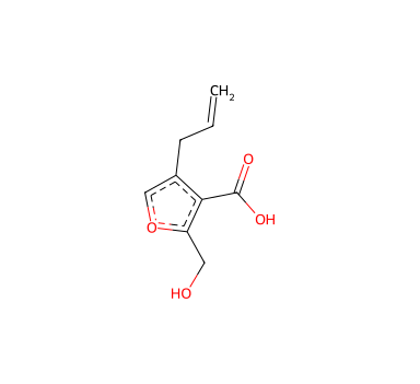 C=CCc1coc(CO)c1C(=O)O